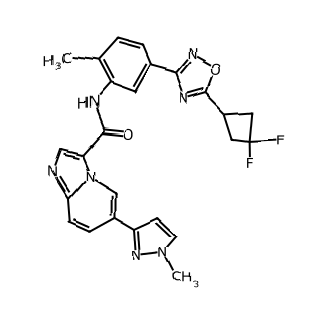 Cc1ccc(-c2noc(C3CC(F)(F)C3)n2)cc1NC(=O)c1cnc2ccc(-c3ccn(C)n3)cn12